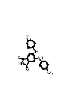 O=C1NC(=O)c2cc(Nc3ccc(C(F)(F)F)cc3)c(Nc3ccc(C(F)(F)F)cc3)cc21